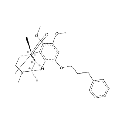 COc1cc(OCCCc2ccccc2)c2c(c1OC)[C@]13CCN(C)[C@H](C2)[C@@H]1CCC(=O)[C@H]3C